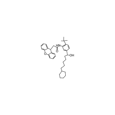 CC(C)(C)c1ccc(C(O)CCCCCC2CCCCC2)cc1NC(=O)CC1c2ccccc2Oc2ccccc21